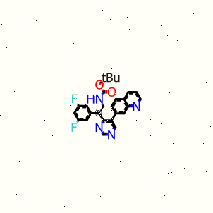 CC(C)(C)OC(=O)NC[C@H](c1cc(F)cc(F)c1)c1ncncc1-c1ccc2cccnc2c1